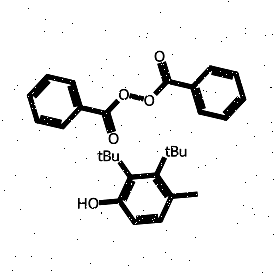 Cc1ccc(O)c(C(C)(C)C)c1C(C)(C)C.O=C(OOC(=O)c1ccccc1)c1ccccc1